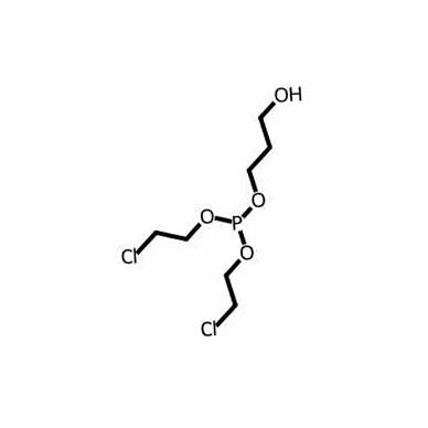 OCCCOP(OCCCl)OCCCl